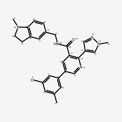 Cc1cc(Cl)cc(-c2cnc(-c3cnn(C)c3)c(C(=O)NCc3ccc4c(c3)CCN4C)c2)c1